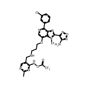 CCn1c(-c2nonc2N)nc2c(-c3cccc(Cl)c3)ncc(OCCCNCc3cnc(C)nc3NOC(=O)C(F)(F)F)c21